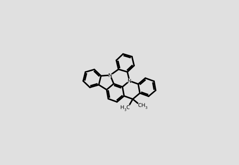 CC1(C)c2ccccc2N2c3ccccc3-n3c4ccccc4c4ccc1c2c43